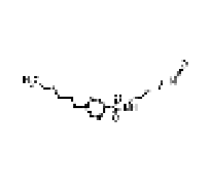 CCCCCCc1ccc(S(=O)(=O)NCCCCCN=C=O)cc1